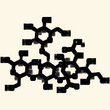 CC(=O)N[C@H]1[C@H]([C@H](O)[C@H](O)CO)O[C@@](O[C@H]2[C@@H](O)[C@@H](CO[C@@H]3O[C@H](CO)[C@H](O)[C@H](O)[C@H]3O)O[C@@H](O[C@H]3[C@H](O)[C@@H](O)C(O)O[C@@H]3CO)[C@@H]2O)(C(=O)O)C[C@@H]1O